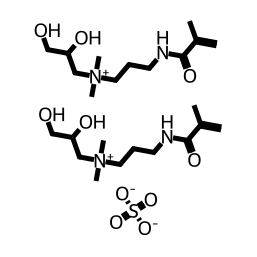 C=C(C)C(=O)NCCC[N+](C)(C)CC(O)CO.C=C(C)C(=O)NCCC[N+](C)(C)CC(O)CO.O=S(=O)([O-])[O-]